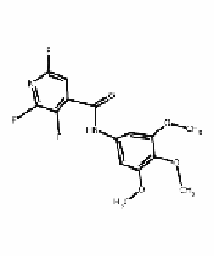 COc1cc(NC(=O)c2cc(F)nc(F)c2F)cc(OC)c1OC